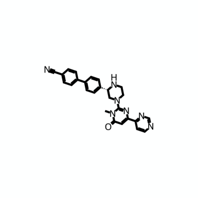 Cn1c(N2CCN[C@@H](c3ccc(-c4ccc(C#N)cc4)cc3)C2)nc(-c2ccncn2)cc1=O